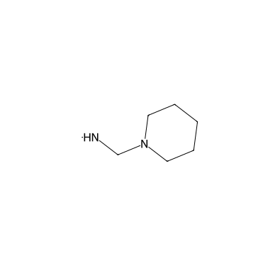 [NH]CN1CCCCC1